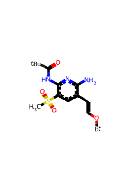 CCOC=Cc1cc(S(C)(=O)=O)c(NC(=O)C(C)(C)C)nc1N